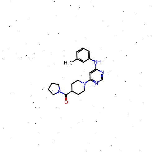 Cc1cccc(Nc2cc(N3CCC(C(=O)N4CCCC4)CC3)ncn2)c1